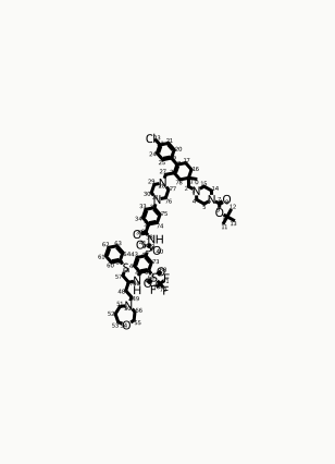 CC1(CN2CCN(C(=O)OC(C)(C)C)CC2)CCC(c2ccc(Cl)cc2)=C(CN2CCN(c3ccc(C(=O)NS(=O)(=O)c4ccc(NC(CCN5CCCOCC5)CSc5ccccc5)c(S(=O)(=O)C(F)(F)F)c4)cc3)CC2)C1